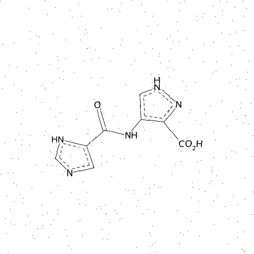 O=C(Nc1c[nH]nc1C(=O)O)c1cnc[nH]1